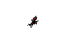 CCCCN(CCC)c1nc(N(CCCC)CCCC)nc(C(C)(C)N(C)C2CC(C)(C)N(OCCC)C(C)(C)C2)n1